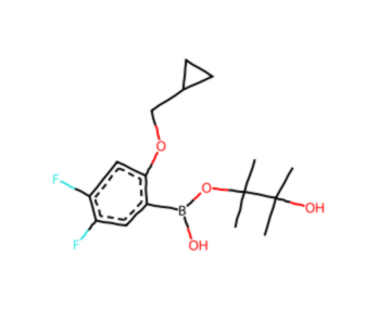 CC(C)(O)C(C)(C)OB(O)c1cc(F)c(F)cc1OCC1CC1